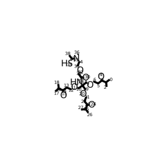 CC(C)C(=O)CCOCC(COCCC(=O)C(C)C)(COCCC(=O)C(C)C)NC(=O)COCCN(C)C(C)S